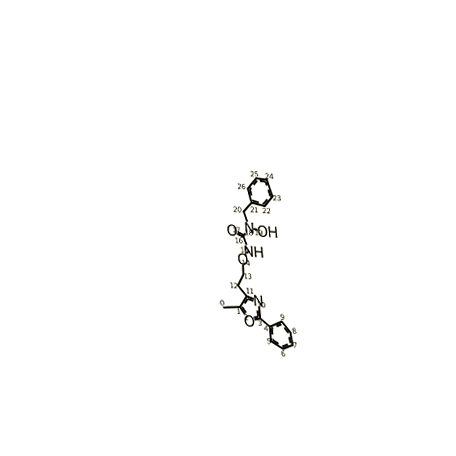 Cc1oc(-c2ccccc2)nc1CCONC(=O)N(O)Cc1ccccc1